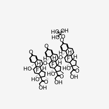 C[C@@H]1C[C@H]2[C@@H]3CCC4=CC(=O)C=C[C@]4(C)[C@@]3(F)[C@@H](O)C[C@]2(C)[C@@]1(O)C(=O)CO.C[C@@H]1C[C@H]2[C@@H]3CCC4=CC(=O)C=C[C@]4(C)[C@@]3(F)[C@@H](O)C[C@]2(C)[C@@]1(O)C(=O)CO.C[C@H]1C[C@H]2[C@@H]3CCC4=CC(=O)C=C[C@]4(C)[C@@]3(F)[C@@H](O)C[C@]2(C)[C@@]1(O)C(=O)CO.O=P(O)(O)O